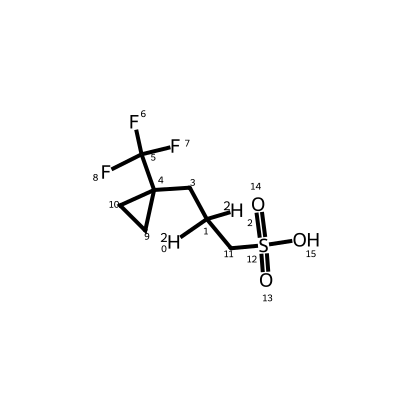 [2H]C([2H])(CC1(C(F)(F)F)CC1)CS(=O)(=O)O